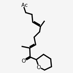 CC(=O)CCC=C(C)CCC=C(C)C(=O)C1CCCCO1